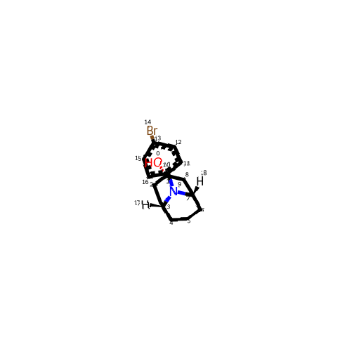 O[C@H]1C[C@H]2CCC[C@@H](C1)N2c1ccc(Br)cc1